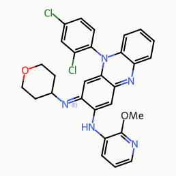 COc1ncccc1Nc1cc2nc3ccccc3n(-c3ccc(Cl)cc3Cl)c-2c/c1=N\C1CCOCC1